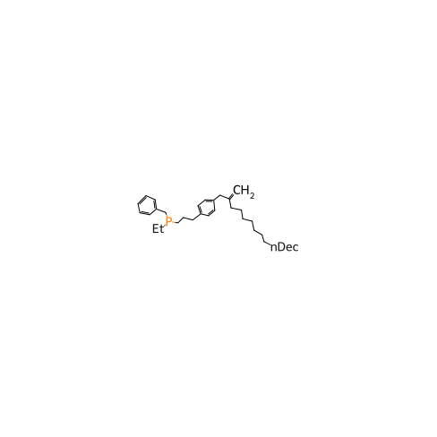 C=C(CCCCCCCCCCCCCCCCC)Cc1ccc(CCCP(CC)Cc2ccccc2)cc1